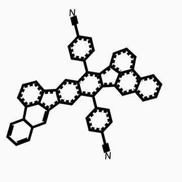 N#Cc1ccc(-c2c3cc4c(cc3c(-c3ccc(C#N)cc3)c3c5cc6ccccc6c6cccc(c23)c65)c2c3c(cccc34)C3C=CC=CC3C=2)cc1